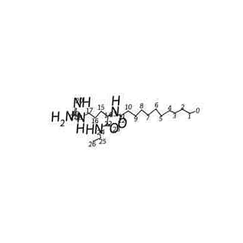 CCCCCCCCCCCC(=O)NC(CCCNC(=N)N)C(=O)NCC